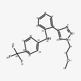 COCCn1nnc(-c2ccccc2Nc2ccc(C(F)(F)F)cc2)n1